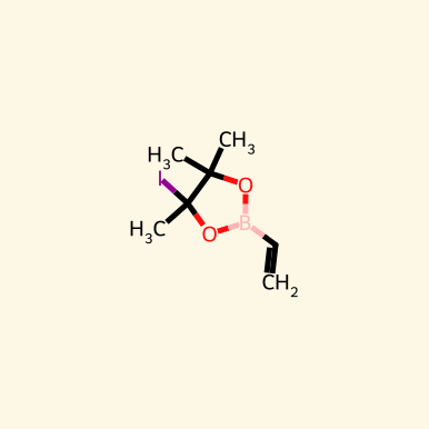 C=CB1OC(C)(C)C(C)(I)O1